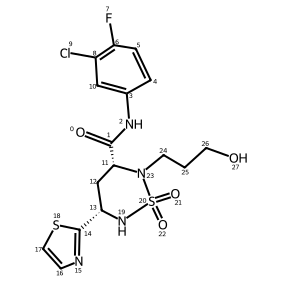 O=C(Nc1ccc(F)c(Cl)c1)[C@H]1C[C@@H](c2nccs2)NS(=O)(=O)N1CCCO